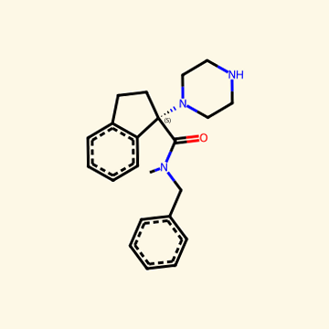 CN(Cc1ccccc1)C(=O)[C@]1(N2CCNCC2)CCc2ccccc21